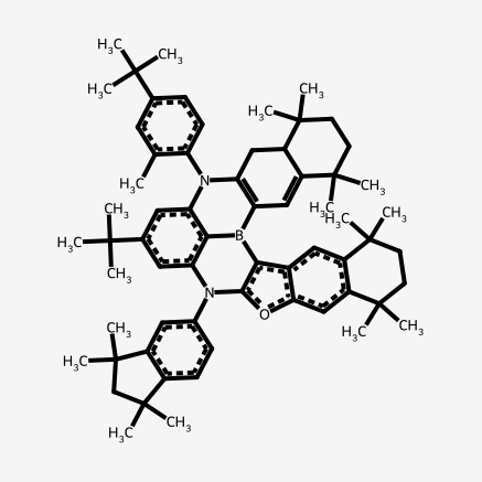 Cc1cc(C(C)(C)C)ccc1N1C2=C(C=C3C(C2)C(C)(C)CCC3(C)C)B2c3c1cc(C(C)(C)C)cc3N(c1ccc3c(c1)C(C)(C)CC3(C)C)c1oc3cc4c(cc3c12)C(C)(C)CCC4(C)C